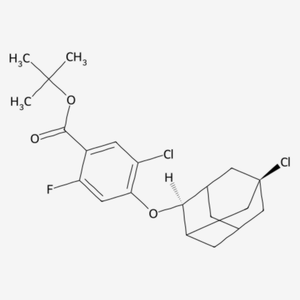 CC(C)(C)OC(=O)c1cc(Cl)c(O[C@H]2C3CC4CC2C[C@@](Cl)(C4)C3)cc1F